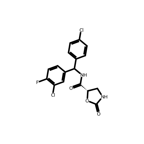 O=C1NC[C@@H](C(=O)NC(c2ccc(Cl)cc2)c2ccc(F)c(Cl)c2)O1